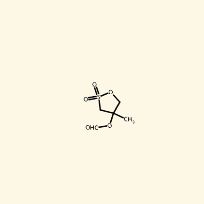 CC1(OC=O)COS(=O)(=O)C1